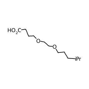 CC(C)CCCOCCOCCCC(=O)O